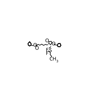 CCCCC(F)(F)SCC[C@H]1[C@H](OCc2ccccc2)CC(=O)[C@@H]1CCCCCCC(=O)OCc1ccccc1